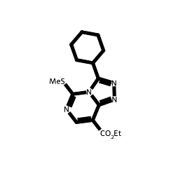 CCOC(=O)c1cnc(SC)n2c(C3CCCCC3)nnc12